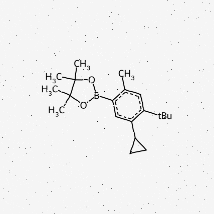 Cc1cc(C(C)(C)C)c(C2CC2)cc1B1OC(C)(C)C(C)(C)O1